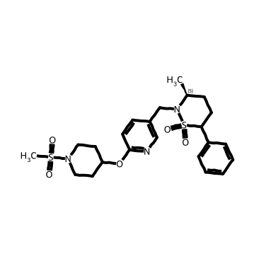 C[C@H]1CCC(c2ccccc2)S(=O)(=O)N1Cc1ccc(OC2CCN(S(C)(=O)=O)CC2)nc1